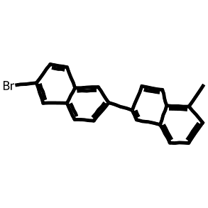 Cc1cccc2cc(-c3ccc4cc(Br)ccc4c3)ccc12